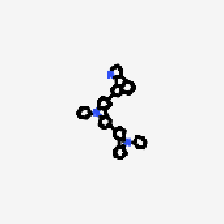 c1ccc(-n2c3ccccc3c3cc(-c4ccc5c(c4)c4cc(-c6cc7c8c(cccc8c6)-c6cccnc6-7)ccc4n5-c4ccccc4)ccc32)cc1